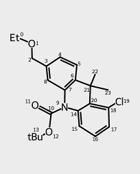 CCOCc1ccc2c(c1)N(C(=O)OC(C)(C)C)c1cccc(Cl)c1C2(C)C